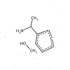 CC(N)c1ccccc1.CO